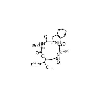 CCCCCCC(C)C1CC(=O)N[C@@H](C(C)C)C(=O)N[C@@H](Cc2ccccc2)C(=O)N[C@H]([C@@H](C)CC)C(=O)O1